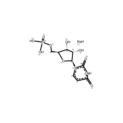 O=c1ccn([C@H]2O[C@@H](COP(=O)(O)O)[C@H](O)[C@@H]2O)c(=O)[nH]1.[NaH]